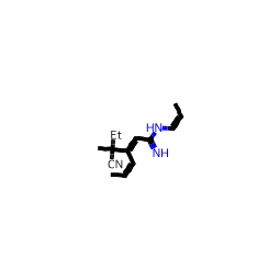 C/C=C\NC(=N)/C=C(\C=C/C)C(C)(C#N)CC